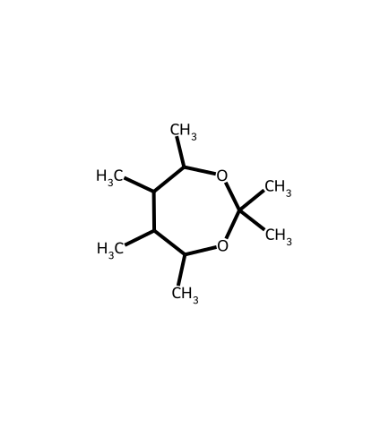 CC1OC(C)(C)OC(C)C(C)C1C